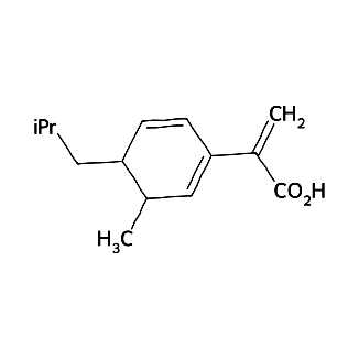 C=C(C(=O)O)C1=CC(C)C(CC(C)C)C=C1